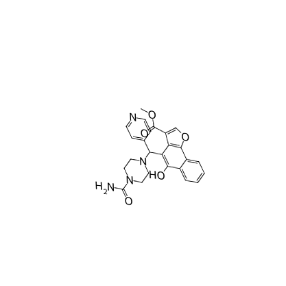 COC(=O)c1coc2c1c(C(c1ccncc1)N1CCN(C(N)=O)CC1)c(O)c1ccccc12